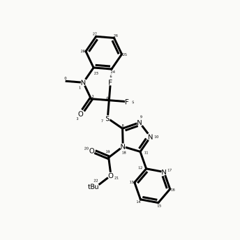 CN(C(=O)C(F)(F)Sc1nnc(-c2ccccn2)n1C(=O)OC(C)(C)C)c1ccccc1